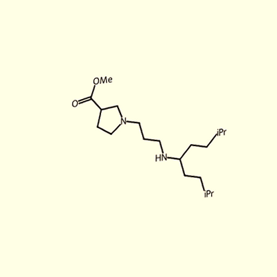 COC(=O)C1CCN(CCCNC(CCC(C)C)CCC(C)C)C1